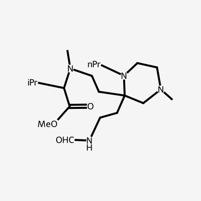 CCCN1CCN(C)CC1(CCNC=O)CCN(C)C(C(=O)OC)C(C)C